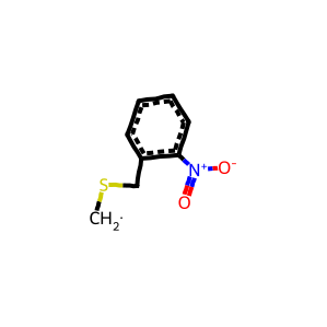 [CH2]SCc1ccccc1[N+](=O)[O-]